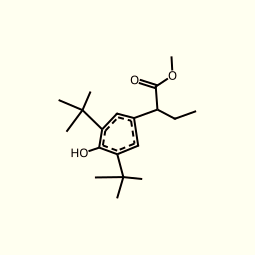 CCC(C(=O)OC)c1cc(C(C)(C)C)c(O)c(C(C)(C)C)c1